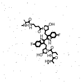 CCC(NC(=O)C(C)NC)C(=O)N1CC(O)CC1Cc1c(-c2[nH]c3cc(F)ccc3c2CC2C[C@H](O)CN2C(=O)CCCNC(=O)[C@H](C)NC)[nH]c2cc(F)ccc12